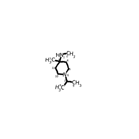 CNC1(C)CCN(C(C)C)CC1